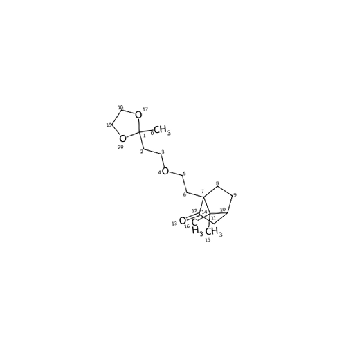 CC1(CCOCCC23CCC(CC2=O)C3(C)C)OCCO1